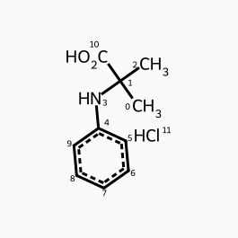 CC(C)(Nc1ccccc1)C(=O)O.Cl